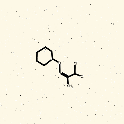 CC(=NOC1CCCCC1)C(Cl)Cl